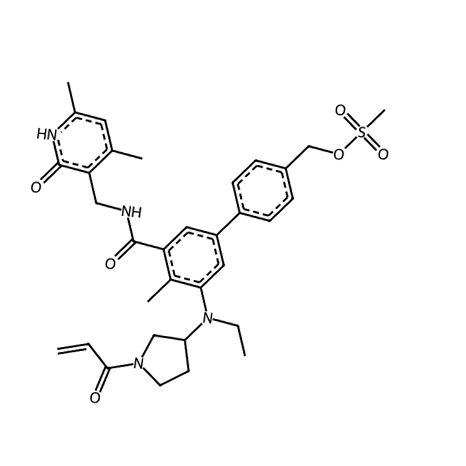 C=CC(=O)N1CCC(N(CC)c2cc(-c3ccc(COS(C)(=O)=O)cc3)cc(C(=O)NCc3c(C)cc(C)[nH]c3=O)c2C)C1